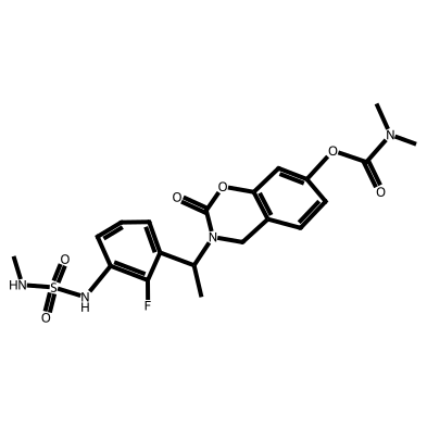 CNS(=O)(=O)Nc1cccc(C(C)N2Cc3ccc(OC(=O)N(C)C)cc3OC2=O)c1F